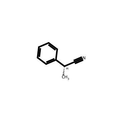 C[C@@H](C#N)c1ccccc1